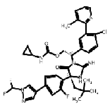 Cc1cccnc1-c1cc([C@@H](COC(=O)NC2CC2)N2C(=N)N[C@](CC(C)(C)C)(c3ccc(-c4cnn(C(F)F)c4)cc3F)C2=O)ccc1Cl